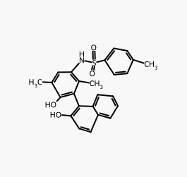 Cc1ccc(S(=O)(=O)Nc2cc(C)c(O)c(-c3c(O)ccc4ccccc34)c2C)cc1